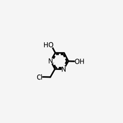 Oc1cc(O)nc(CCl)n1